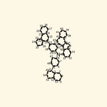 c1ccc2c(-c3ccc(N(c4ccc(-c5cc6ccccc6c6ccccc56)cc4)c4cccc5sc6c7ccccc7ccc6c45)cc3)cccc2c1